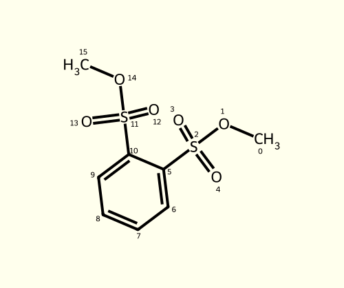 COS(=O)(=O)c1ccccc1S(=O)(=O)OC